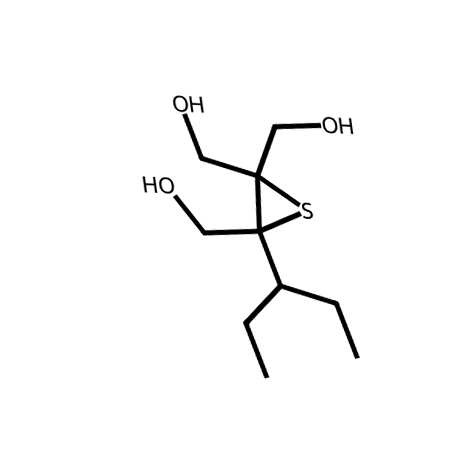 CCC(CC)C1(CO)SC1(CO)CO